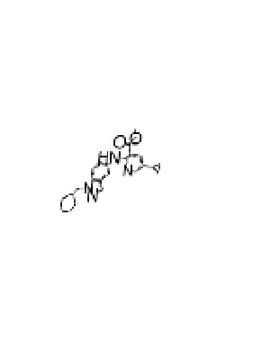 COC(=O)c1cc(C2CC2)cnc1Nc1ccc2c(cnn2CC2CCCCC2)c1